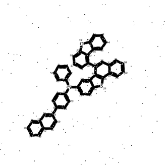 c1ccc(N(c2ccc(-c3ccc4ccccc4c3)cc2)c2ccc3sc4c5ccccc5cc(-c5cccc6oc7ccccc7c56)c4c3c2)cc1